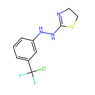 FC(F)(Cl)c1cccc(NNC2=NCCS2)c1